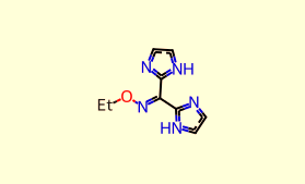 CCON=C(c1ncc[nH]1)c1ncc[nH]1